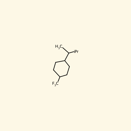 CC(C)C(C)C1CCC(C(F)(F)F)CC1